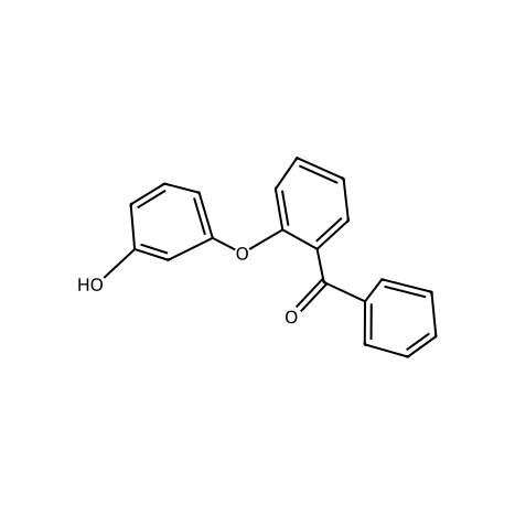 O=C(c1ccccc1)c1ccccc1Oc1cccc(O)c1